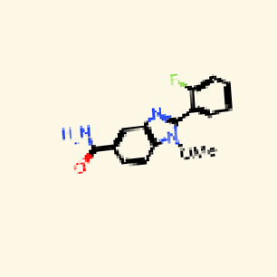 COn1c(-c2ccccc2F)nc2cc(C(N)=O)ccc21